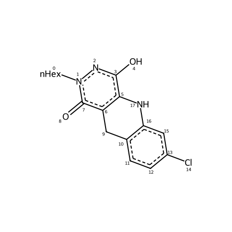 CCCCCCn1nc(O)c2c(c1=O)Cc1ccc(Cl)cc1N2